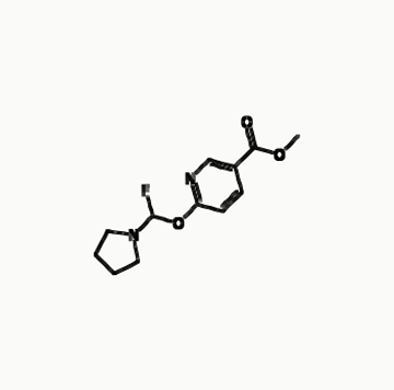 COC(=O)c1ccc(OC(F)N2CCCC2)nc1